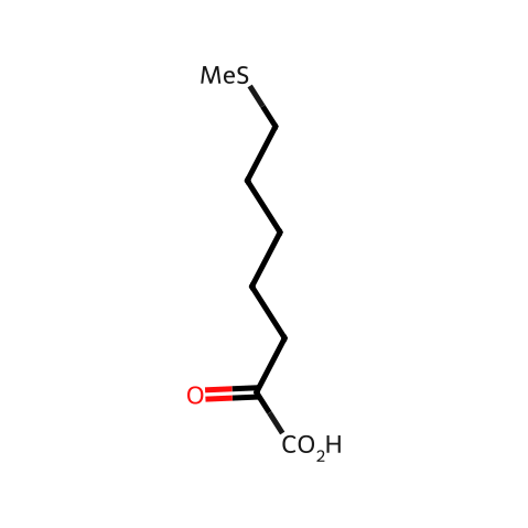 CSCCCCCC(=O)C(=O)O